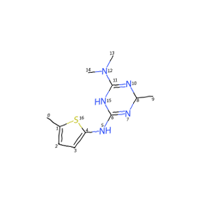 Cc1ccc(NC2=NC(C)N=C(N(C)C)N2)s1